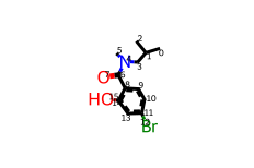 CC(C)CN(C)C(=O)c1ccc(Br)cc1O